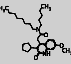 CCCCCCCCN(CCCCC)C(=O)Cc1c(C2CCCC2)c(=O)[nH]c2cc(OC)ccc12